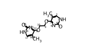 Cc1c[nH]c(=O)nc1OCCOc1nc(=O)[nH]cc1C